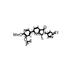 CCn1cc(N2C(=O)c3ccc(-c4cnc(OC)c(OC(F)F)c4)nc3[C@@H]2C)cn1